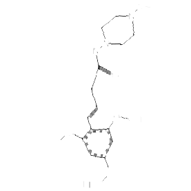 COc1cc(OC)c(C=CCC(=O)NN2CCN(C)CC2)c(OC)c1